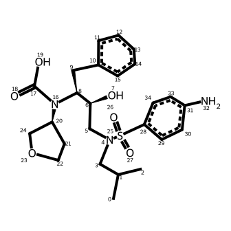 CC(C)CN(C[C@H](O)[C@H](Cc1ccccc1)N(C(=O)O)[C@H]1CCOC1)S(=O)(=O)c1ccc(N)cc1